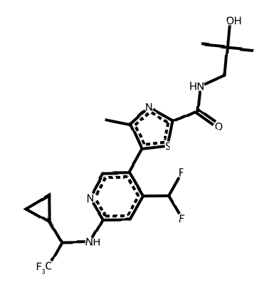 Cc1nc(C(=O)NCC(C)(C)O)sc1-c1cnc(NC(C2CC2)C(F)(F)F)cc1C(F)F